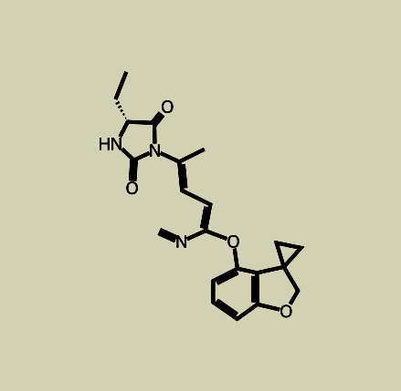 C=N/C(=C\C=C(/C)N1C(=O)N[C@H](CC)C1=O)Oc1cccc2c1C1(CC1)CO2